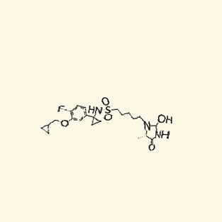 C[C@H]1C(=O)NC(O)N1CCCCCS(=O)(=O)NC1(c2ccc(F)c(OCC3CC3)c2)CC1